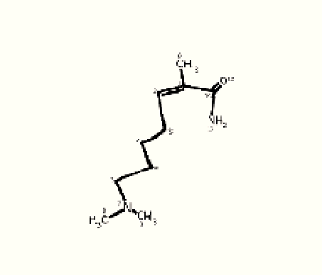 CC(=CCCCCN(C)C)C(N)=O